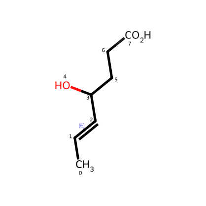 C/C=C/C(O)CCC(=O)O